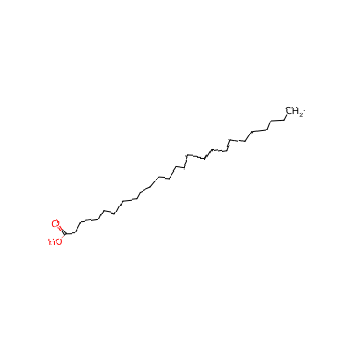 [CH2]CCCCCCCCC[CH]CCCCCCCCCCCCCC(=O)O